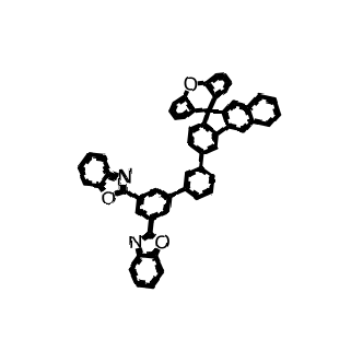 c1cc(-c2cc(-c3nc4ccccc4o3)cc(-c3nc4ccccc4o3)c2)cc(-c2ccc3c(c2)-c2cc4ccccc4cc2C32c3ccccc3Oc3ccccc32)c1